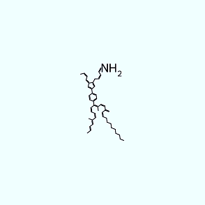 C=C(/C=C\CCCCCCCCC)\C=C/C(C)=C(/C=C\C=C/C(C)=C/C=C/C)c1ccc(C2=C/C(=C/C=C\C)C(C/C=C\C=C/N)=C2)cc1